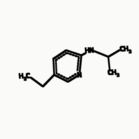 CCc1ccc(NC(C)C)nc1